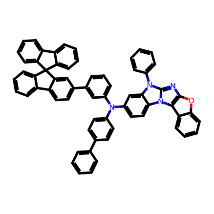 c1ccc(-c2ccc(N(c3cccc(-c4ccc5c(c4)C4(c6ccccc6-c6ccccc64)c4ccccc4-5)c3)c3ccc4c(c3)n(-c3ccccc3)c3nc5oc6ccccc6c5n43)cc2)cc1